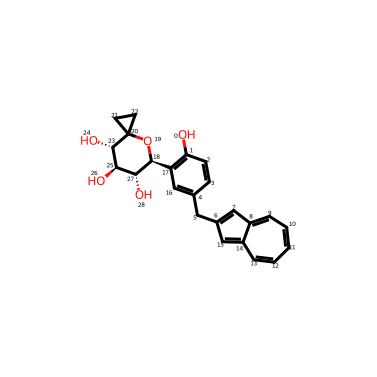 Oc1ccc(Cc2cc3cccccc-3c2)cc1[C@@H]1OC2(CC2)[C@@H](O)[C@H](O)[C@H]1O